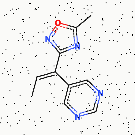 C/C=C(\c1cncnc1)c1noc(C)n1